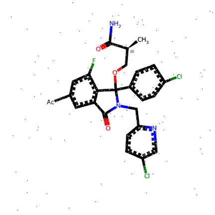 CC(=O)c1cc(F)c2c(c1)C(=O)N(Cc1ccc(Cl)cn1)C2(OC[C@H](C)C(N)=O)c1ccc(Cl)cc1